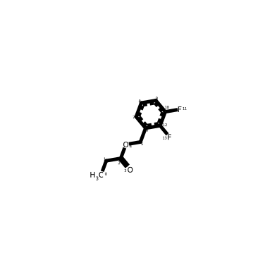 CCC(=O)OCc1cccc(F)c1F